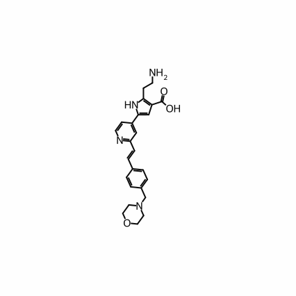 NCCc1[nH]c(-c2ccnc(C=Cc3ccc(CN4CCOCC4)cc3)c2)cc1C(=O)O